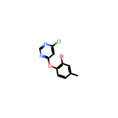 Cc1ccc(Oc2cc(Cl)ncn2)c(Br)c1